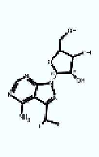 Nc1ncnc2c1c(C(F)F)nn2[C@@H]1OC(CO)C(O)[C@H]1O